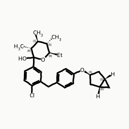 CC[C@H]1OC(O)(c2ccc(Cl)c(Cc3ccc(O[C@H]4C[C@@H]5C[C@@H]5C4)cc3)c2)[C@H](C)[C@@H](C)[C@@H]1C